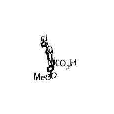 COC(=O)c1ccc2c(c1)c(C(=O)O)nn2Cc1cc(-c2ccc(Cl)s2)on1